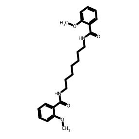 COc1ccccc1C(=O)NCCCCCCCNC(=O)c1ccccc1OC